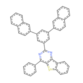 c1ccc(-c2nc(-c3cc(-c4ccc5ccccc5c4)cc(-c4ccc5ccccc5c4)c3)nc3c2sc2ccccc23)cc1